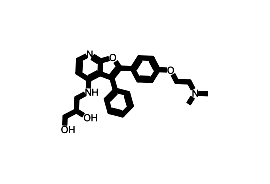 CN(C)CCOc1ccc(-c2oc3nccc(NCC(O)CO)c3c2-c2ccccc2)cc1